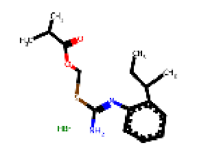 Br.CCC(C)c1ccccc1/N=C(\N)SCOC(=O)C(C)C